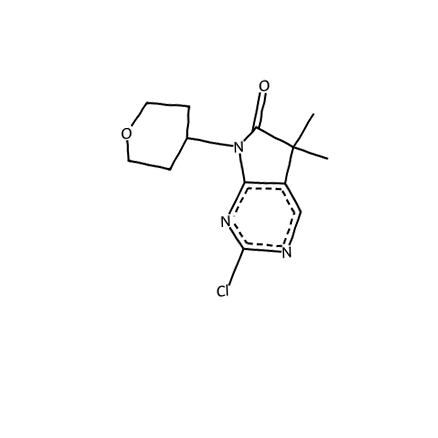 CC1(C)C(=O)N(C2CCOCC2)c2nc(Cl)ncc21